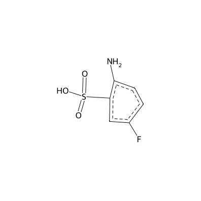 Nc1ccc(F)cc1S(=O)(=O)O